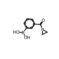 O=C(c1cccc(B(O)O)c1)N1CC1